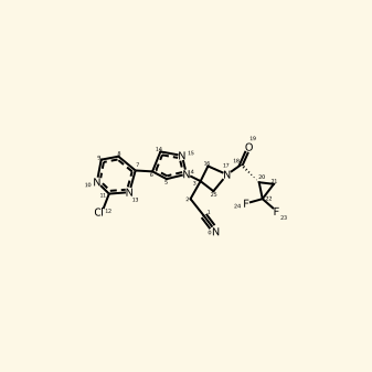 N#CCC1(n2cc(-c3ccnc(Cl)n3)cn2)CN(C(=O)[C@@H]2CC2(F)F)C1